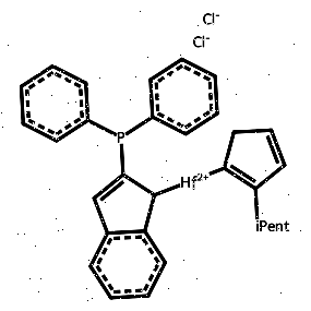 CCCC(C)C1=[C]([Hf+2][CH]2C(P(c3ccccc3)c3ccccc3)=Cc3ccccc32)CC=C1.[Cl-].[Cl-]